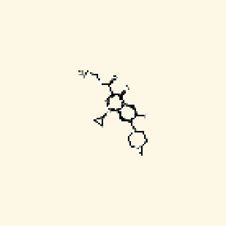 O=C(OCC(Cl)(Cl)Cl)c1cn(C2CC2)c2cc(N3CCNCC3)c(F)cc2c1=O